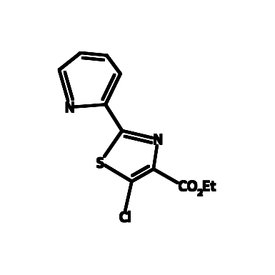 CCOC(=O)c1nc(-c2ccccn2)sc1Cl